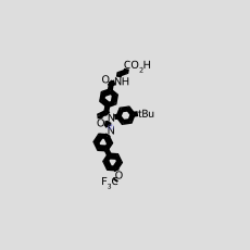 CC(C)(C)C1CCC(N2/C(=N/c3cccc(-c4ccc(OC(F)(F)F)cc4)c3)OCC2c2ccc(C(=O)NCCC(=O)O)cc2)CC1